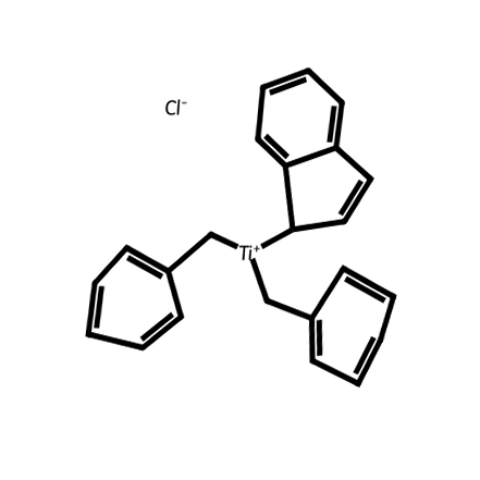 C1=C[CH]([Ti+]([CH2]c2ccccc2)[CH2]c2ccccc2)c2ccccc21.[Cl-]